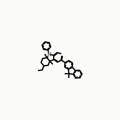 C=C(/C=C1\C(=C/C)N(c2ccccc2)C2(C)CCC(CC)CC12C)c1ccc2c(c1)C(C)(C)c1ccccc1-2